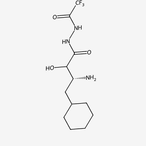 N[C@H](CC1CCCCC1)C(O)C(=O)NNC(=O)C(F)(F)F